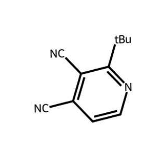 CC(C)(C)c1nccc(C#N)c1C#N